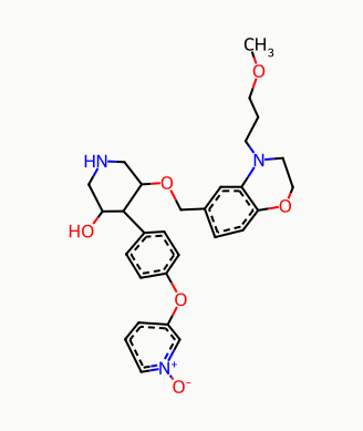 COCCCN1CCOc2ccc(COC3CNCC(O)C3c3ccc(Oc4ccc[n+]([O-])c4)cc3)cc21